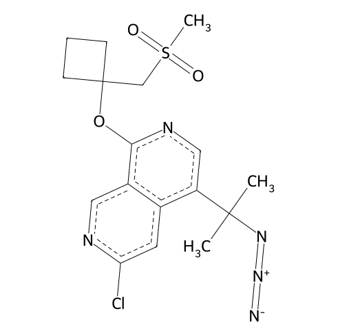 CC(C)(N=[N+]=[N-])c1cnc(OC2(CS(C)(=O)=O)CCC2)c2cnc(Cl)cc12